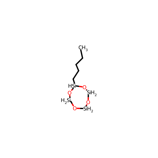 CCCCC[SiH]1O[SiH2]O[SiH2]O[SiH2]O1